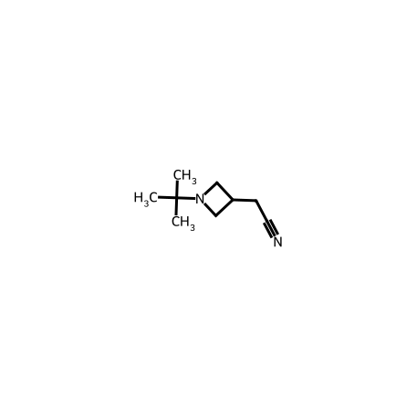 CC(C)(C)N1CC(CC#N)C1